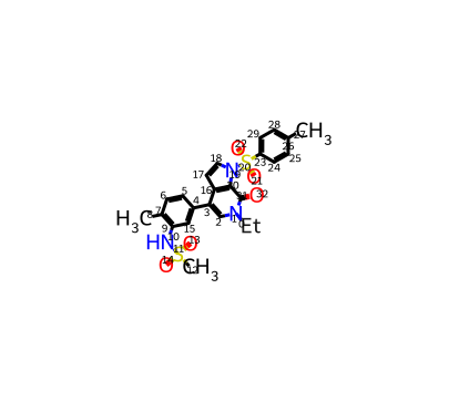 CCn1cc(-c2ccc(C)c(NS(C)(=O)=O)c2)c2ccn(S(=O)(=O)c3ccc(C)cc3)c2c1=O